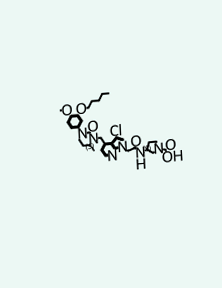 CCCCCOc1cc(N2CC[C@H](C)N(Cc3ccnc4c3c(Cl)cn4CC(=O)N[C@H]3CCN(C(=O)O)C3)C2=O)ccc1OC